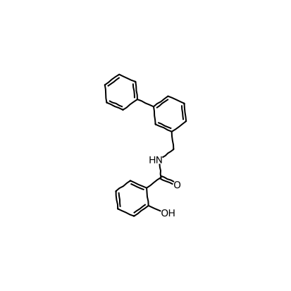 O=C(NCc1cccc(-c2ccccc2)c1)c1ccccc1O